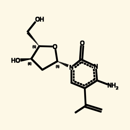 C=C(C)c1cn([C@@H]2C[C@@H](O)[C@H](CO)O2)c(=O)nc1N